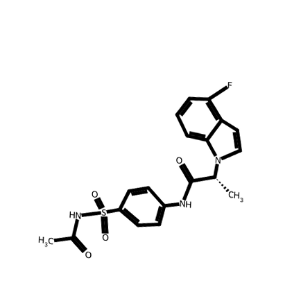 CC(=O)NS(=O)(=O)c1ccc(NC(=O)[C@@H](C)n2ccc3c(F)cccc32)cc1